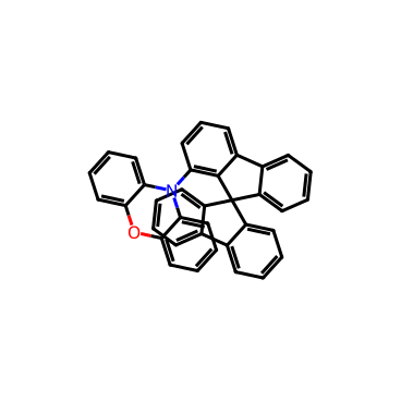 c1ccc2c(c1)Oc1ccccc1N2c1cccc2c1C1(c3ccccc3-c3ccccc31)c1ccccc1-2